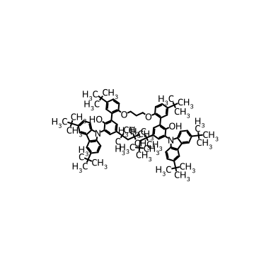 CC(C)(C)CC(C)(C)c1cc(-c2cc(C(C)(C)C)ccc2OCCCOc2ccc(C(C)(C)C)cc2-c2cc(C(C)(C)CC(C)(C)C)cc(-n3c4ccc(C(C)(C)C)cc4c4cc(C(C)(C)C)ccc43)c2O)c(O)c(-n2c3ccc(C(C)(C)C)cc3c3cc(C(C)(C)C)ccc32)c1